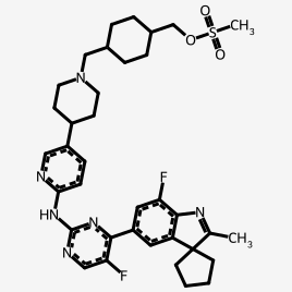 CC1=Nc2c(F)cc(-c3nc(Nc4ccc(C5CCN(CC6CCC(COS(C)(=O)=O)CC6)CC5)cn4)ncc3F)cc2C12CCCC2